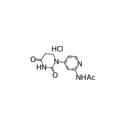 CC(=O)Nc1cc(N2CCC(=O)NC2=O)ccn1.Cl